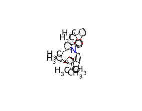 CC(C)(C)c1ccc2c(c1)C13c4ccccc4-c4ccc(cc41)N(c1ccc4c(c1)C(C)(C)c1ccccc1-4)c1c(cccc1-c1ccccc1)CC(C)(C)c1ccc-2c3c1